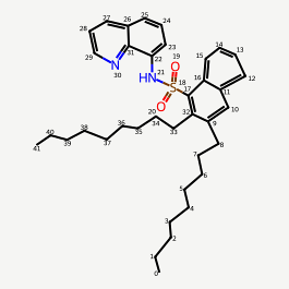 CCCCCCCCCc1cc2ccccc2c(S(=O)(=O)Nc2cccc3cccnc23)c1CCCCCCCCC